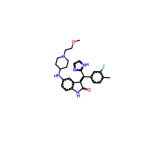 COCCN1CCC(Nc2ccc3c(c2)C(=C(c2ccc(C)c(F)c2)c2ncc[nH]2)C(=O)N3)CC1